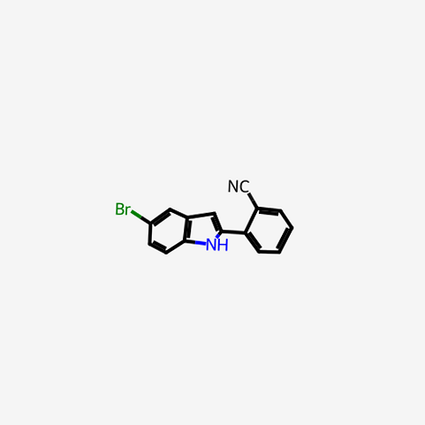 N#Cc1ccccc1-c1cc2cc(Br)ccc2[nH]1